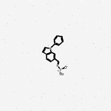 CC(C)(C)[S@@+]([O-])N=Cc1ccc2ccn(-c3ccccc3)c2c1